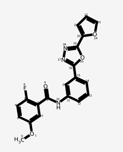 COc1ccc(F)c(C(=O)Nc2cccc(-c3nnc(-c4ccco4)o3)c2)c1